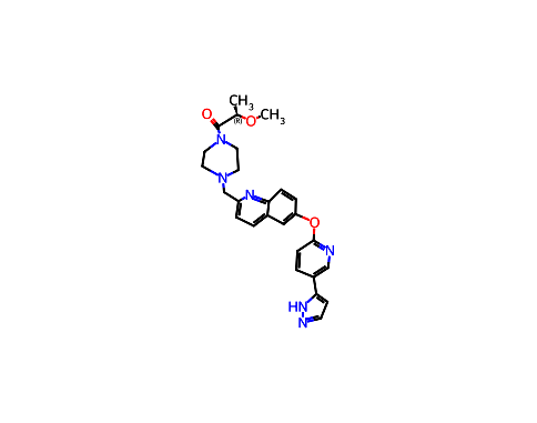 CO[C@H](C)C(=O)N1CCN(Cc2ccc3cc(Oc4ccc(-c5ccn[nH]5)cn4)ccc3n2)CC1